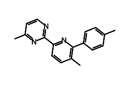 Cc1ccc(-c2nc(-c3nccc(C)n3)ccc2C)cc1